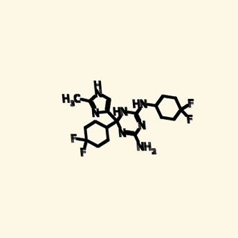 Cc1nc(C2(C3CCC(F)(F)CC3)N=C(N)N=C(NC3CCC(F)(F)CC3)N2)c[nH]1